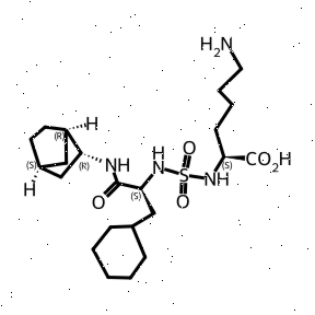 NCCCC[C@H](NS(=O)(=O)N[C@@H](CC1CCCCC1)C(=O)N[C@@H]1C[C@H]2CC[C@@H]1C2)C(=O)O